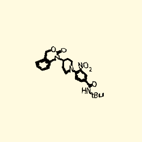 CC(C)(C)NC(=O)c1ccc(N2CCC(N3C(=O)OCc4ccccc43)CC2)c([N+](=O)[O-])c1